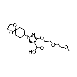 COCCOCCOc1nn(C2CCC3(CC2)OCCO3)cc1C(=O)O